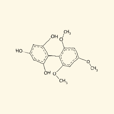 COc1cc(OC)c(-c2c(O)cc(O)cc2O)c(OC)c1